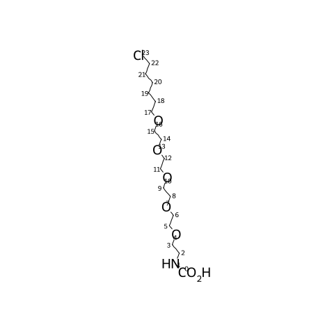 O=C(O)NCCOCCOCCOCCOCCOCCCCCCCl